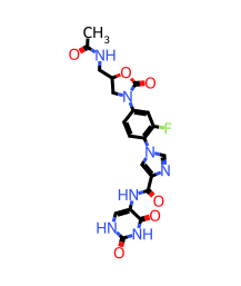 CC(=O)NCC1CN(c2ccc(-n3cnc(C(=O)Nc4c[nH]c(=O)[nH]c4=O)c3)c(F)c2)C(=O)O1